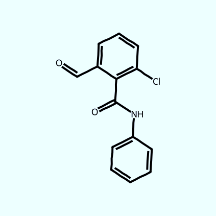 O=Cc1cccc(Cl)c1C(=O)Nc1ccccc1